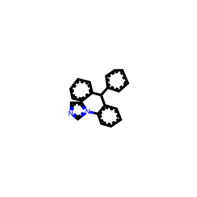 c1ccc([C](c2ccccc2)c2ccccc2-n2ccnc2)cc1